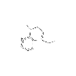 CCC1=CCC(C)c2ncccc21